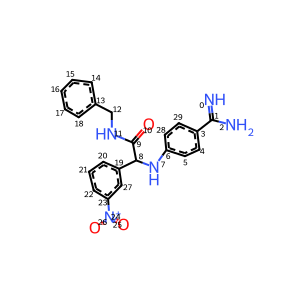 N=C(N)c1ccc(NC(C(=O)NCc2ccccc2)c2cccc([N+](=O)[O-])c2)cc1